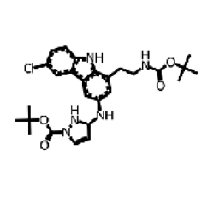 CC(C)(C)OC(=O)NCCc1cc(NC2C=CN(C(=O)OC(C)(C)C)N2)cc2c1[nH]c1ccc(Cl)cc12